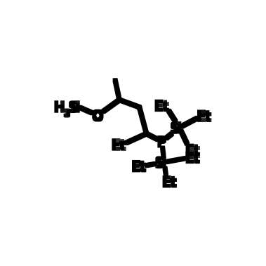 CCC(CC(C)O[SiH3])P([Si](CC)(CC)CC)[Si](CC)(CC)CC